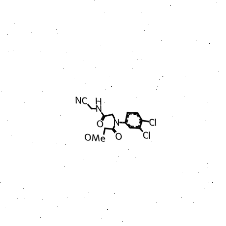 COCC(=O)N(CC(=O)NCC#N)c1ccc(Cl)c(Cl)c1